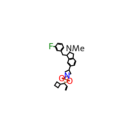 C=CC(C1CCC1)S(=O)(=O)N1CC(c2ccc3c(c2)C(Cc2cccc(F)c2)C(NC)C3)C1